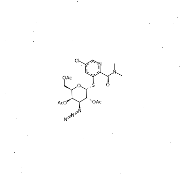 CC(=O)OC[C@H]1O[C@H](Sc2cc(Cl)cnc2C(=O)N(C)C)[C@H](OC(C)=O)[C@@H](N=[N+]=[N-])[C@H]1OC(C)=O